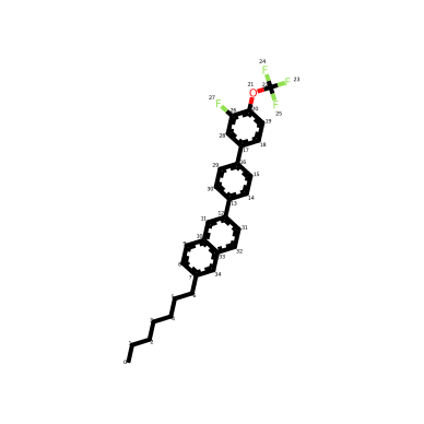 CCCCCCCc1ccc2cc(-c3ccc(-c4ccc(OC(F)(F)F)c(F)c4)cc3)ccc2c1